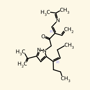 C=C/C(=C\N=C(C)C)C(=O)Cn1nc(C(=C)C)cc1/C(=C\CC)CCC